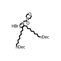 Br.CCCCCCCCCCCCCCCCCCC1=C(CCCCCCCCCCCCCCCCCC)N(CC(=O)N2CCOCC2)CS1